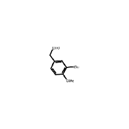 COc1ccc(CC=O)cc1C(C)(C)C